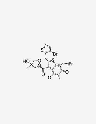 CC(C)Cn1c(=O)n(C)c(=O)c2c(C(=O)N3CC(C)(O)CO3)c(Cc3sccc3Br)sc21